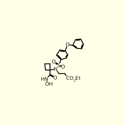 CCOC(=O)CCN(C1(C(=O)NO)CCC1)S(=O)(=O)c1ccc(Oc2ccccc2)cc1